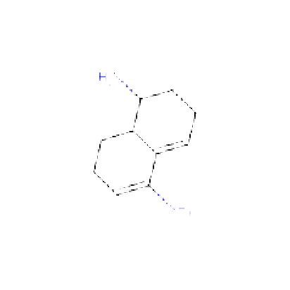 NC1=CCCC2C1=CCCC2N